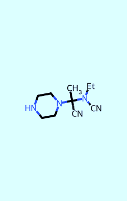 CCN(C#N)C(C)(C#N)N1CCNCC1